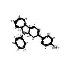 Brc1ccc(C2=CC=C3c4ccccc4N(c4ccccc4)C3C2)cc1